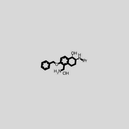 CC(C)N[C@H]1CCc2c(ccc(OCc3ccccc3)c2CN)[C@@H]1O.Cl